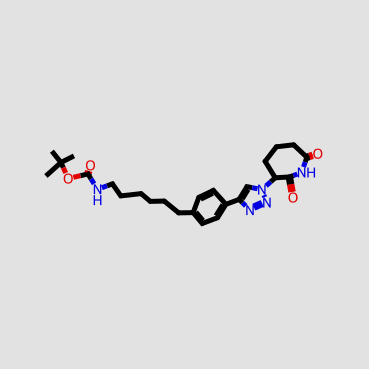 CC(C)(C)OC(=O)NCCCCCCc1ccc(-c2cn(C3CCCC(=O)NC3=O)nn2)cc1